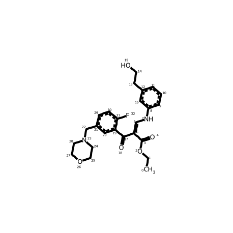 CCOC(=O)C(=CNc1cccc(CCO)c1)C(=O)c1cc(CN2CCOCC2)ccc1F